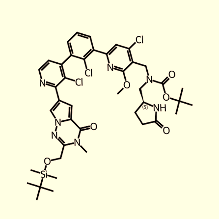 COc1nc(-c2cccc(-c3ccnc(-c4cc5c(=O)n(C)c(CO[Si](C)(C)C(C)(C)C)nn5c4)c3Cl)c2Cl)cc(Cl)c1CN(C[C@@H]1CCC(=O)N1)C(=O)OC(C)(C)C